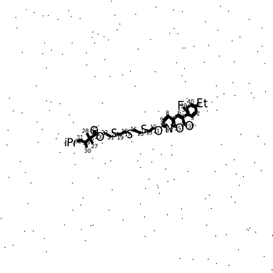 CCc1ccc(-c2cc3ccc(OCCSCCSCCSCCOC(=O)C(C)(C)C(C)CC(C)C)nc3oc2=O)c(F)c1